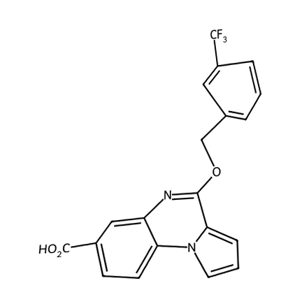 O=C(O)c1ccc2c(c1)nc(OCc1cccc(C(F)(F)F)c1)c1cccn12